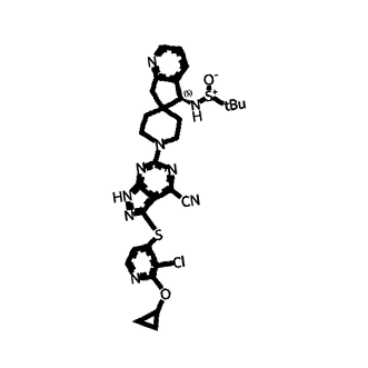 CC(C)(C)[S+]([O-])N[C@@H]1c2cccnc2CC12CCN(c1nc(C#N)c3c(Sc4ccnc(OC5CC5)c4Cl)n[nH]c3n1)CC2